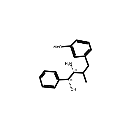 COc1cccc(CC(C)[C@@H](N)[C@H](O)c2ccccc2)c1